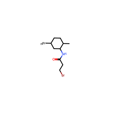 CCCC1CCC(C)C(NC(=O)CCBr)C1